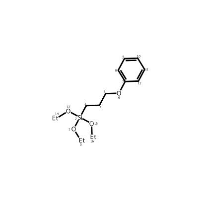 CCO[Si](CCCOc1c[c]ccc1)(OCC)OCC